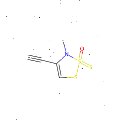 C#CC1=CSS(=O)(=S)N1C